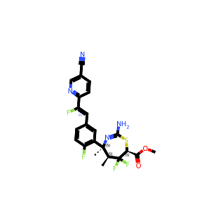 COC(=O)[C@@H]1SC(N)=N[C@](C)(c2cc(/C=C(\F)c3ccc(C#N)cn3)ccc2F)[C@H](C)C1(F)F